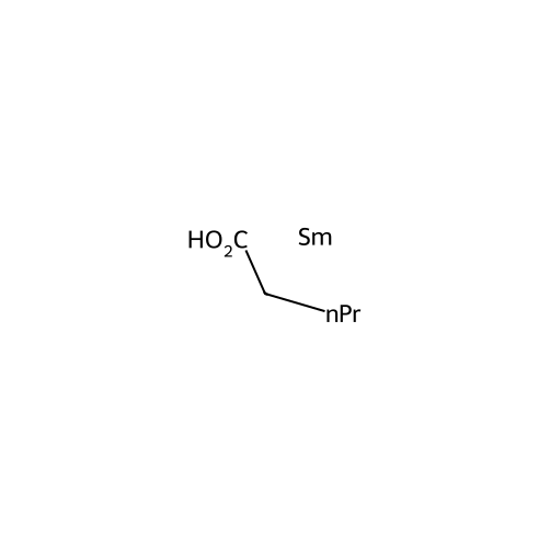 CCCCC(=O)O.[Sm]